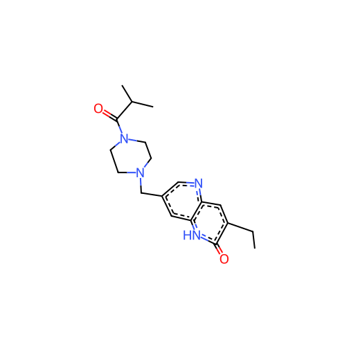 CCc1cc2ncc(CN3CCN(C(=O)C(C)C)CC3)cc2[nH]c1=O